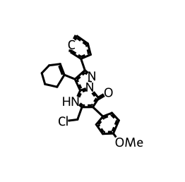 COc1ccc(-c2c(CCl)[nH]c3c(C4=CCCCC4)c(-c4ccccc4)nn3c2=O)cc1